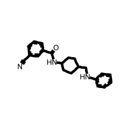 N#Cc1cccc(C(=O)NC2CCC(CNc3ccccc3)CC2)c1